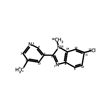 Cc1cncc(-c2nc3ccc(Cl)cc3n2C)c1